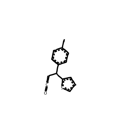 Cc1ccc(C(C=C=O)c2cccs2)cc1